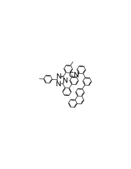 Cc1ccc(-c2nc(-c3ccc(C)cc3)nc(-c3ccccc3-c3ccc(-c4ccccc4-c4cccc(-c5ccc6c(ccc7ccccc76)c5)c4)c(C#N)c3)n2)cc1